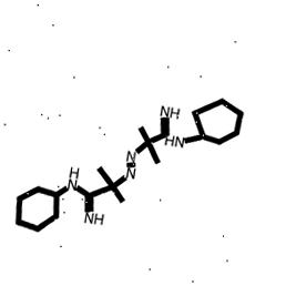 CC(C)(/N=N/C(C)(C)C(=N)NC1CCCCC1)C(=N)NC1CCCCC1